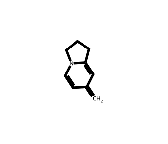 C=C1C=CN2CCCC2=C1